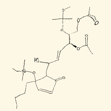 CCCCC1(O[Si](C)(C)C)C=CC(=O)C1C(O)C=C[C@H](OC(C)=O)[C@@H](COC(C)=O)OC(C)(C)OC